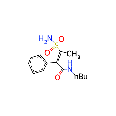 CCCCNC(=O)/C(=C(\C)S(N)(=O)=O)c1ccccc1